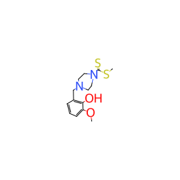 COc1cccc(CN2CCN(C(=S)SC)CC2)c1O